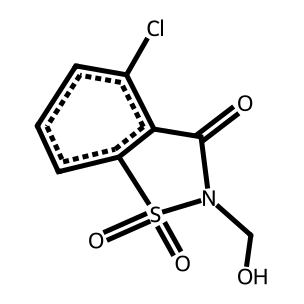 O=C1c2c(Cl)cccc2S(=O)(=O)N1CO